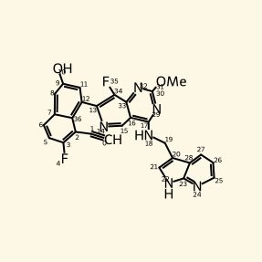 C#Cc1c(F)ccc2cc(O)cc(-c3ncc4c(NCc5c[nH]c6ncccc56)nc(OC)nc4c3F)c12